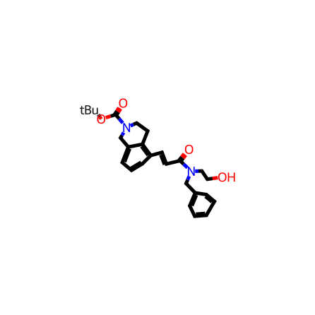 CC(C)(C)OC(=O)N1CCc2c(C=CC(=O)N(CCO)Cc3ccccc3)cccc2C1